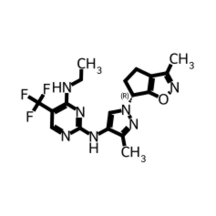 CCNc1nc(Nc2cn([C@@H]3CCc4c(C)noc43)nc2C)ncc1C(F)(F)F